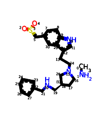 CN.O=S(=O)=Cc1ccc2[nH]cc(CCN3CC[C@@H](CNCc4ccccc4)C3)c2c1